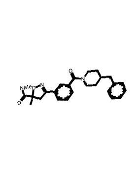 CNC(=O)C1(C)CC(c2cccc(C(=O)N3CCC(Cc4ccccc4)CC3)c2)=NO1